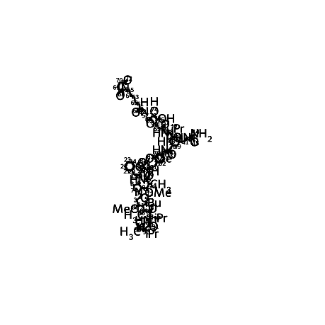 CCC(C)C(C(CC(=O)N1CCCC1C(OC)C(C)C(=O)N[C@@H](Cc1ccccc1)C(=O)N[C@@H](Cc1ccc(NC(=O)C(CCCNC(N)=O)NC(=O)[C@H](NC(=O)C[C@@H]2O[C@H](CNC(=O)CCCCCN3C(=O)C=CC3=O)C(O)C2O)C(C)C)cc1)C(=O)OC)OC)C(C)C(=O)[C@@H](NC(=O)C(C(C)C)N(C)C)C(C)C